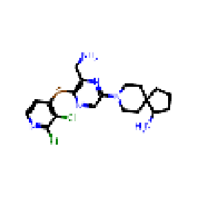 NCc1nc(N2CCC3(CCC[C@H]3N)CC2)cnc1Sc1ccnc(Cl)c1Cl